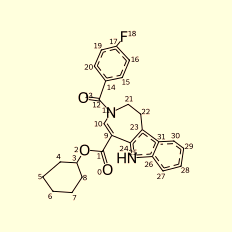 O=C(OC1CCCCC1)C1=CN(C(=O)c2ccc(F)cc2)CCc2c1[nH]c1ccccc21